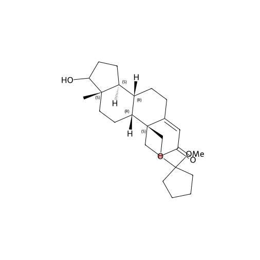 COC1(OC[C@]23CCC(=O)C=C2CC[C@@H]2[C@H]3CC[C@]3(C)C(O)CC[C@@H]23)CCCC1